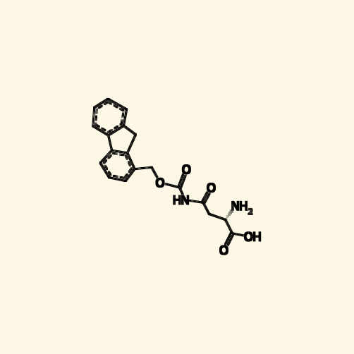 N[C@@H](CC(=O)NC(=O)OCc1cccc2c1Cc1ccccc1-2)C(=O)O